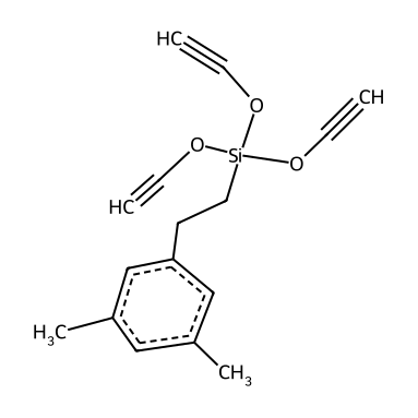 C#CO[Si](CCc1cc(C)cc(C)c1)(OC#C)OC#C